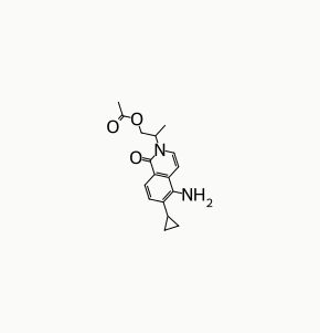 CC(=O)OCC(C)n1ccc2c(N)c(C3CC3)ccc2c1=O